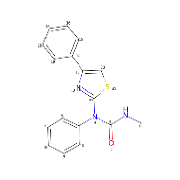 CNC(=O)N(c1ccccc1)c1nc(-c2ccccc2)cs1